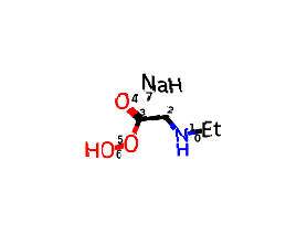 CCNCC(=O)OO.[NaH]